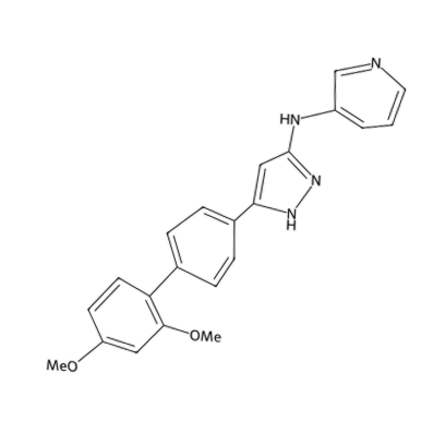 COc1ccc(-c2ccc(-c3cc(Nc4cccnc4)n[nH]3)cc2)c(OC)c1